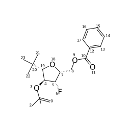 C=C(C)O[C@@H]1[C@@H](F)[C@@H](COC(=O)c2ccccc2)O[C@H]1C(C)(C)C